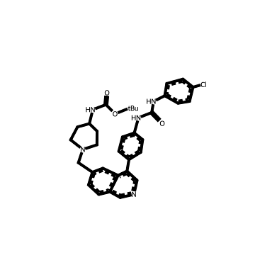 CC(C)(C)OC(=O)NC1CCN(Cc2ccc3cncc(-c4ccc(NC(=O)Nc5ccc(Cl)cc5)cc4)c3c2)CC1